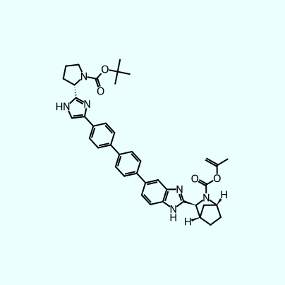 C=C(C)OC(=O)N1[C@@H]2CC[C@@H](C2)[C@H]1c1nc2cc(-c3ccc(-c4ccc(-c5c[nH]c([C@@H]6CCCN6C(=O)OC(C)(C)C)n5)cc4)cc3)ccc2[nH]1